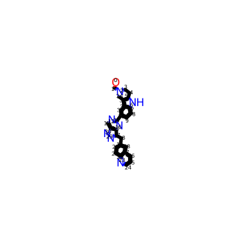 O=CN1CCc2[nH]c3ccc(-c4ncc5c(n4)C(Cc4ccc6ncccc6c4)N=N5)cc3c2C1